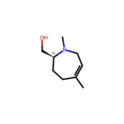 CC1=CCN(C)[C@H](CO)CC1